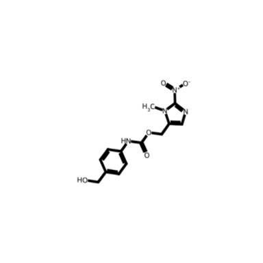 Cn1c(COC(=O)Nc2ccc(CO)cc2)cnc1[N+](=O)[O-]